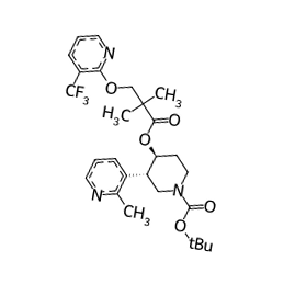 Cc1ncccc1[C@H]1CN(C(=O)OC(C)(C)C)CC[C@@H]1OC(=O)C(C)(C)COc1ncccc1C(F)(F)F